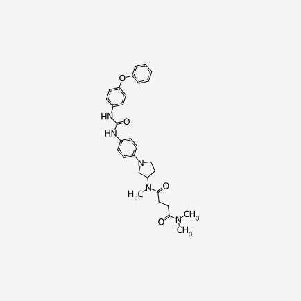 CN(C)C(=O)CCC(=O)N(C)C1CCN(c2ccc(NC(=O)Nc3ccc(Oc4ccccc4)cc3)cc2)C1